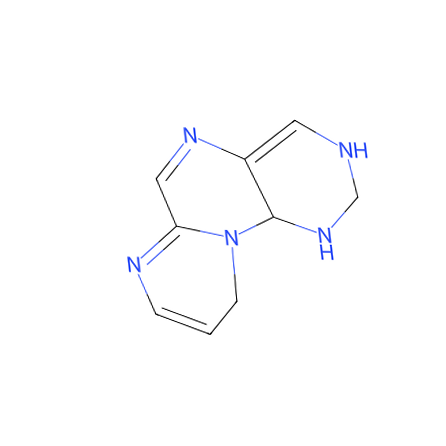 C1=CN=C2C=NC3=CNCNC3N2C1